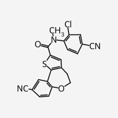 CN(C(=O)c1cc2c(s1)-c1cc(C#N)ccc1OCC2)c1ccc(C#N)cc1Cl